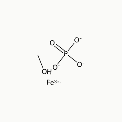 CO.O=P([O-])([O-])[O-].[Fe+3]